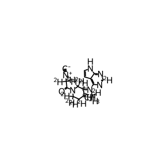 [2H]c1nc(N(C([2H])([2H])[2H])[C@]2([2H])[C@H](C)C([2H])([2H])C([2H])([2H])N(C(=O)C([2H])([2H])[N+]#[C-])C2([2H])[2H])c2cc[nH]c2n1